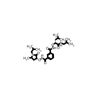 CC(C)CNC(=O)[C@@H](CC(C)C)ONC(=O)c1cccc(C(=O)NO[C@@H]2CC(C)N(CC(C)C)C2=O)c1